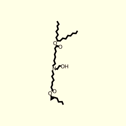 CCCCCCCCC(CCCCCCC)OC(=O)CCCCCCCN(CCO)CCCCCCCC(=O)OC1=CC1CCCC